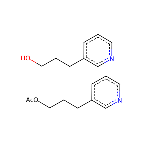 CC(=O)OCCCc1cccnc1.OCCCc1cccnc1